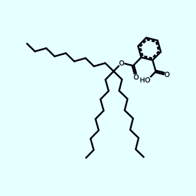 CCCCCCCCCC(CCCCCCCCC)(CCCCCCCCC)OC(=O)c1ccccc1C(=O)O